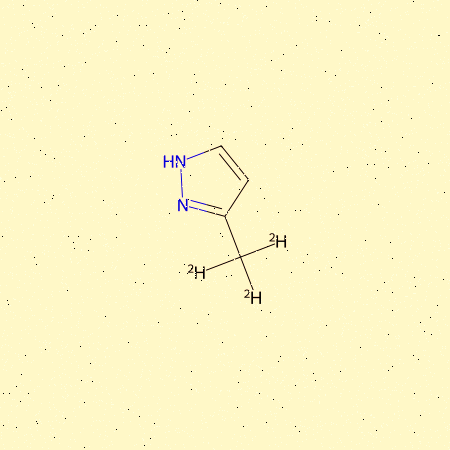 [2H]C([2H])([2H])c1cc[nH]n1